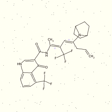 C=CC/C(=C\C(=C(/C)NC(=O)c1c[nH]c2cccc(C(F)(F)F)c2c1=O)C(F)(F)F)N1C2CCC1CC2